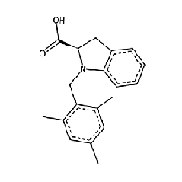 Cc1cc(C)c(CN2c3ccccc3C[C@@H]2C(=O)O)c(C)c1